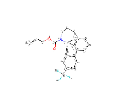 C=CCOC(=O)N1CCC2C[C@H]1c1c(-c3ccc(C(F)(F)F)cc3)cccc12